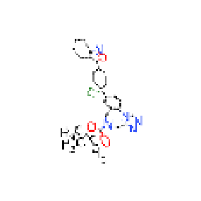 CC(C)(C)OC(=O)N1Cc2cc(C3(Cl)CCC(c4onc5c4CCCC5)CC3)ccc2-n2cnnc2C1